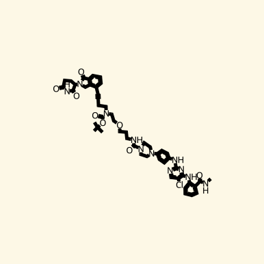 CNC(=O)c1ccccc1Nc1nc(Nc2ccc(N3CCN(C(=O)NCCCOCCN(CCC#Cc4cccc5c4CN(C4CCC(=O)NC4=O)C5=O)C(=O)OC(C)(C)C)CC3)cc2)ncc1Cl